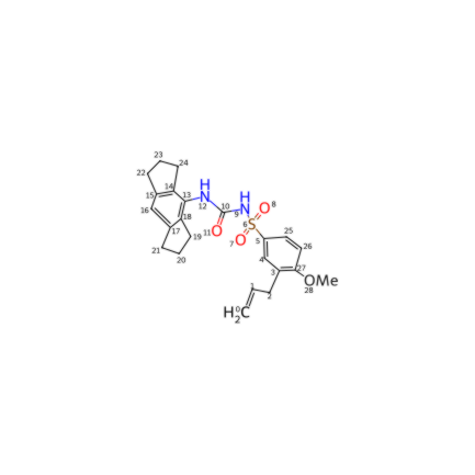 C=CCc1cc(S(=O)(=O)NC(=O)Nc2c3c(cc4c2CCC4)CCC3)ccc1OC